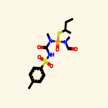 CCC(C)SP(=O)(N(C)C=O)N(C)C(=O)NS(=O)(=O)c1ccc(C)cc1